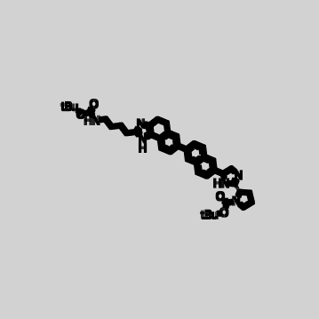 CC(C)(C)OC(=O)NCCCCc1nc2c([nH]1)-c1ccc(-c3ccc4cc(C5CN=C([C@@H]6CCCN6C(=O)OC(C)(C)C)N5)ccc4c3)cc1CC2